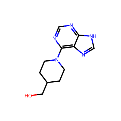 OCC1CCN(c2ncnc3[nH]cnc23)CC1